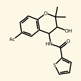 CC(=O)c1ccc2c(c1)C(NC(=O)c1cccs1)C(O)C(C)(C)O2